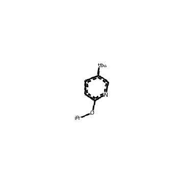 CC(C)Oc1ccc(C(C)(C)C)cn1